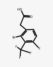 O=C(O)Cc1ccc(F)c(C(F)(F)F)c1Br